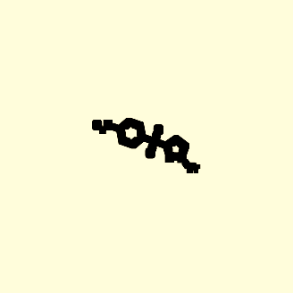 CC(C)n1ccc(S(=O)(=O)c2ccc([N+](=O)[O-])cc2)n1